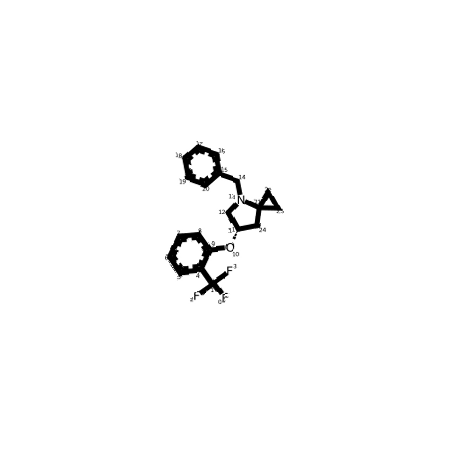 FC(F)(F)c1ccccc1O[C@@H]1CN(Cc2ccccc2)C2(CC2)C1